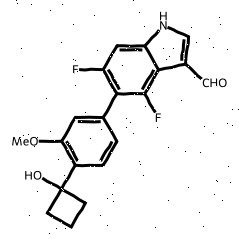 COc1cc(-c2c(F)cc3[nH]cc(C=O)c3c2F)ccc1C1(O)CCC1